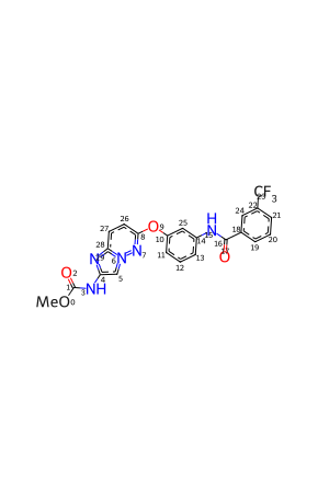 COC(=O)Nc1cn2nc(Oc3cccc(NC(=O)c4cccc(C(F)(F)F)c4)c3)ccc2n1